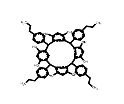 CCCc1ccc(C2c3cc(c(O)cc3O)C(c3ccc(CCC)cc3)c3cc(c(O)cc3O)C(c3ccc(CCC)cc3)c3cc(c(O)cc3O)C(c3ccc(CCC)cc3)c3cc2c(O)cc3O)cc1